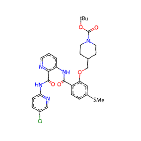 CSc1ccc(C(=O)Nc2cccnc2C(=O)Nc2ccc(Cl)cn2)c(OCC2CCN(C(=O)OC(C)(C)C)CC2)c1